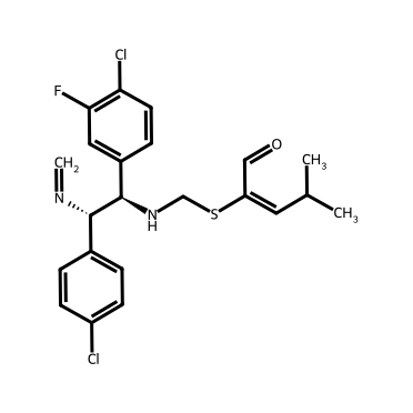 C=N[C@@H](c1ccc(Cl)cc1)[C@H](NCS/C(C=O)=C/C(C)C)c1ccc(Cl)c(F)c1